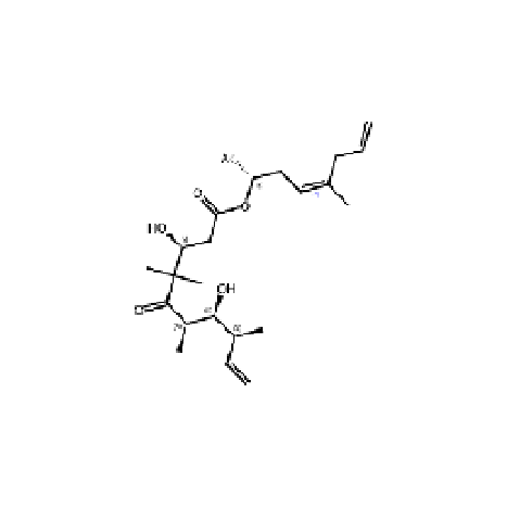 C=CC/C(C)=C\C[C@H](OC(=O)C[C@H](O)C(C)(C)C(=O)[C@H](C)[C@@H](O)[C@@H](C)C=C)C(C)=O